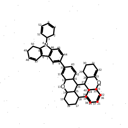 C1=CCC(n2c3c(c4cc(C5=CC6OC7CCCC(C8CC=CCC8)C7C(C7C8CCCC=C8OC8CCC=CC87)C6C=C5)ccc42)C=CCC3)C=C1